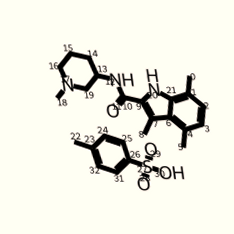 Cc1ccc(C)c2c(C)c(C(=O)NC3CCCN(C)C3)[nH]c12.Cc1ccc(S(=O)(=O)O)cc1